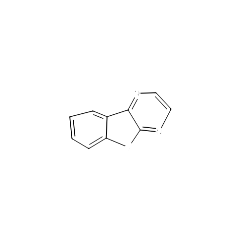 c1ccc2c(c1)sc1nccnc12